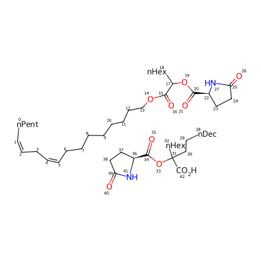 CCCCC/C=C\C/C=C\CCCCCCCCOC(=O)C(CCCCCC)OC(=O)[C@@H]1CCC(=O)N1.CCCCCCCCCCCCC(CCCCCC)(OC(=O)[C@@H]1CCC(=O)N1)C(=O)O